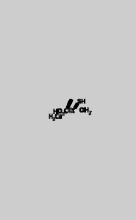 CC(=O)O.CCS.O.[CaH2]